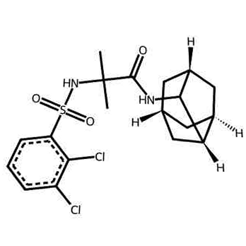 CC(C)(NS(=O)(=O)c1cccc(Cl)c1Cl)C(=O)NC1[C@@H]2C[C@@H]3C[C@@H](C2)[C@@H]1C3